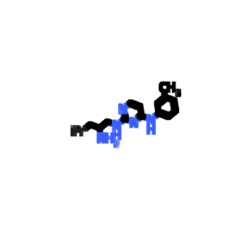 Cc1cccc(Nc2ccnc(NCC(N)CC(C)C)n2)c1